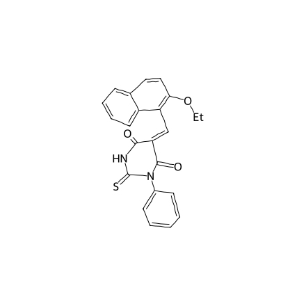 CCOc1ccc2ccccc2c1C=C1C(=O)NC(=S)N(c2ccccc2)C1=O